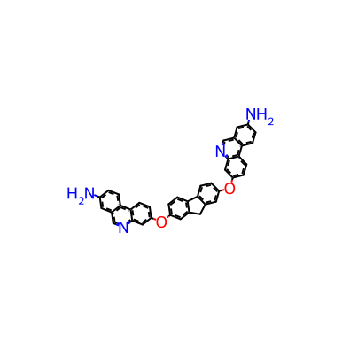 Nc1ccc2c(cnc3cc(Oc4ccc5c(c4)Cc4cc(Oc6ccc7c(c6)ncc6cc(N)ccc67)ccc4-5)ccc32)c1